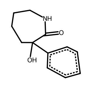 O=C1NCCCCC1(O)c1ccccc1